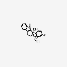 CC1(c2ccc(F)cc2)c2[nH]c3ccccc3c2CCN1C(=O)CCl